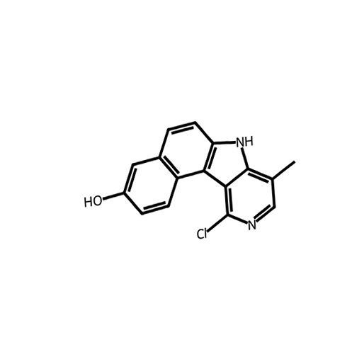 Cc1cnc(Cl)c2c1[nH]c1ccc3cc(O)ccc3c12